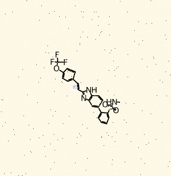 CNS(=O)(=O)c1ccccc1-c1ccc2[nH]c(/C=C/c3ccc(OC(F)(F)F)cc3)nc2c1